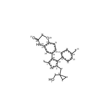 Cc1nn(CC2(CO)CC2)c(-c2ccc(F)cc2)c1-c1ccc2c(c1)NC(=O)CO2